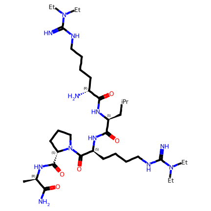 CCN(CC)C(=N)NCCCC[C@@H](N)C(=O)N[C@@H](CC(C)C)C(=O)N[C@@H](CCCCNC(=N)N(CC)CC)C(=O)N1CCC[C@H]1C(=O)N[C@H](C)C(N)=O